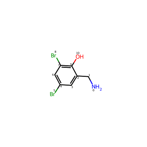 NCc1cc(Br)cc(Br)c1O